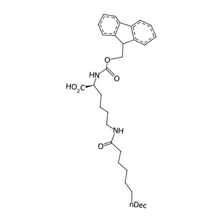 CCCCCCCCCCCCCCCC(=O)NCCCC[C@H](NC(=O)OCC1c2ccccc2-c2ccccc21)C(=O)O